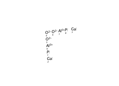 [Al+3].[Al+3].[Ga].[Ga].[O-2].[O-2].[O-2].[P].[P]